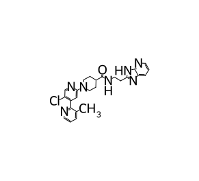 Cc1cccnc1-c1cc(N2CCC(C(=O)NCCc3nc4cccnc4[nH]3)CC2)ncc1Cl